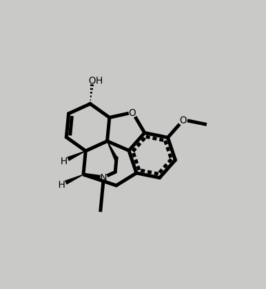 COc1ccc2c3c1OC1[C@@H](O)C=C[C@H]4[C@@H](C2)N(C)CC[C@]314